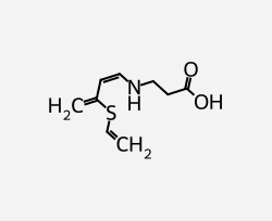 C=CSC(=C)/C=C\NCCC(=O)O